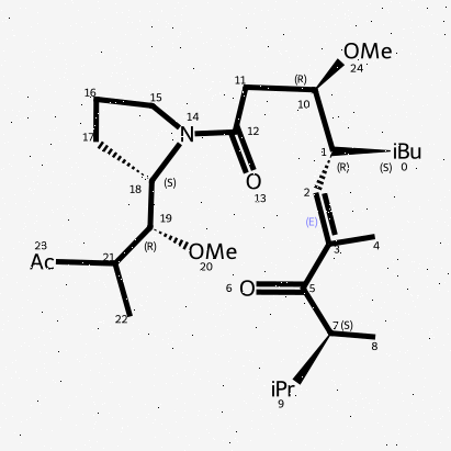 CC[C@H](C)[C@H](/C=C(\C)C(=O)[C@@H](C)C(C)C)[C@@H](CC(=O)N1CCC[C@H]1[C@H](OC)C(C)C(C)=O)OC